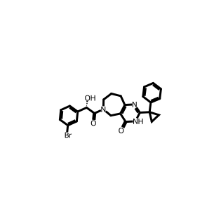 O=C([C@@H](O)c1cccc(Br)c1)N1CCCc2nc(C3(c4ccccc4)CC3)[nH]c(=O)c2C1